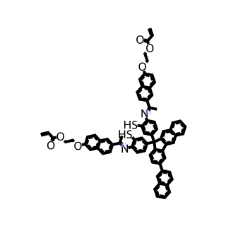 C=CC(=O)OCCOc1ccc2cc(/C(C)=N/c3ccc(C4(c5ccc(/N=C(\C)c6ccc7cc(OCCOC(=O)C=C)ccc7c6)c(S)c5)c5ccc(-c6ccc7ccccc7c6)cc5-c5cc6ccccc6cc54)cc3S)ccc2c1